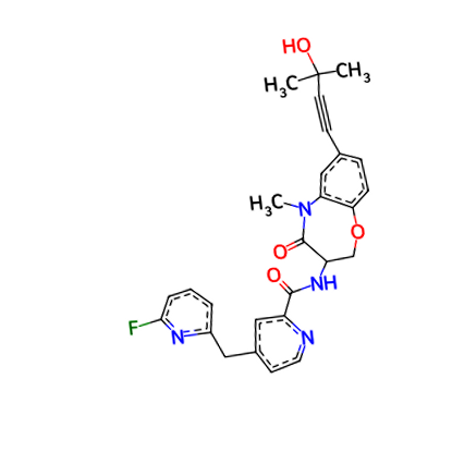 CN1C(=O)C(NC(=O)c2cc(Cc3cccc(F)n3)ccn2)COc2ccc(C#CC(C)(C)O)cc21